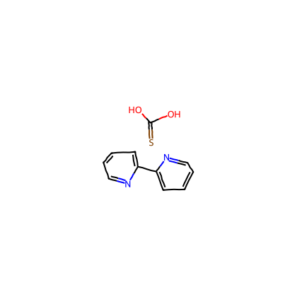 OC(O)=S.c1ccc(-c2ccccn2)nc1